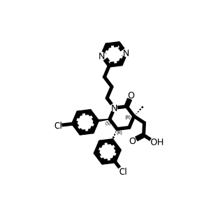 C[C@]1(CC(=O)O)C[C@H](c2cccc(Cl)c2)[C@@H](c2ccc(Cl)cc2)N(CCCc2cnccn2)C1=O